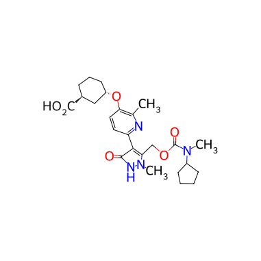 Cc1nc(-c2c(COC(=O)N(C)C3CCCC3)n(C)[nH]c2=O)ccc1O[C@H]1CCC[C@H](C(=O)O)C1